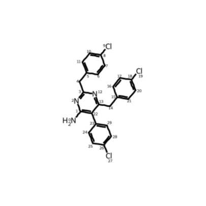 Nc1nc(Cc2ccc(Cl)cc2)nc(Cc2ccc(Cl)cc2)c1-c1ccc(Cl)cc1